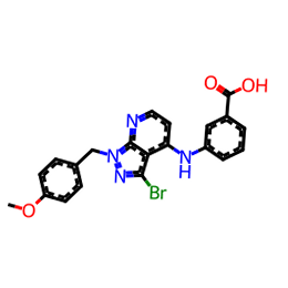 COc1ccc(Cn2nc(Br)c3c(Nc4cccc(C(=O)O)c4)ccnc32)cc1